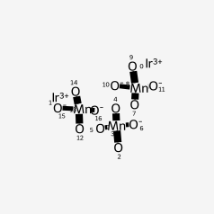 [Ir+3].[Ir+3].[O]=[Mn](=[O])([O-])[O-].[O]=[Mn](=[O])([O-])[O-].[O]=[Mn](=[O])([O-])[O-]